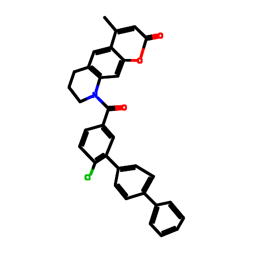 Cc1cc(=O)oc2cc3c(cc12)CCCN3C(=O)c1ccc(Cl)c(-c2ccc(-c3ccccc3)cc2)c1